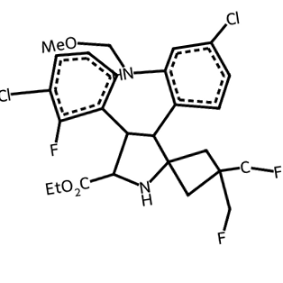 CCOC(=O)C1NC2(CC(CF)(CF)C2)C(c2ccc(Cl)cc2NCOC)C1c1cccc(Cl)c1F